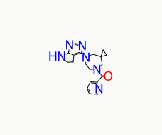 O=C(c1ccccn1)N1CCN(c2ncnc3[nH]ccc23)CC2(CC2)C1